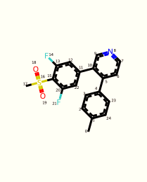 Cc1ccc(-c2ccncc2-c2cc(F)c(S(C)(=O)=O)c(F)c2)cc1